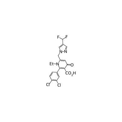 CCn1c(Cn2cc(C(F)F)cn2)cc(=O)c(C(=O)O)c1-c1ccc(Cl)c(Cl)c1